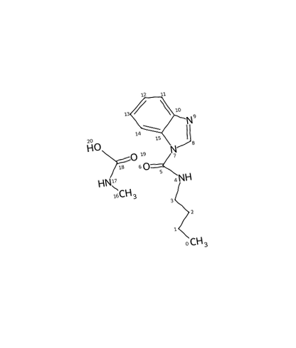 CCCCNC(=O)n1cnc2ccccc21.CNC(=O)O